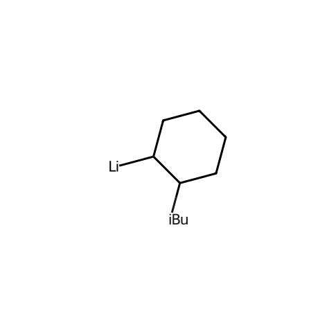 [Li][CH]1CCCCC1C(C)CC